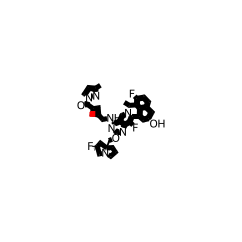 CCc1c(F)ccc2cc(O)cc(-c3ncc4c(NCC56CC(C(=O)n7ccc(C)n7)(C5)C6)nc(OC[C@@]56CCCN5C[C@H](F)C6)nc4c3F)c12